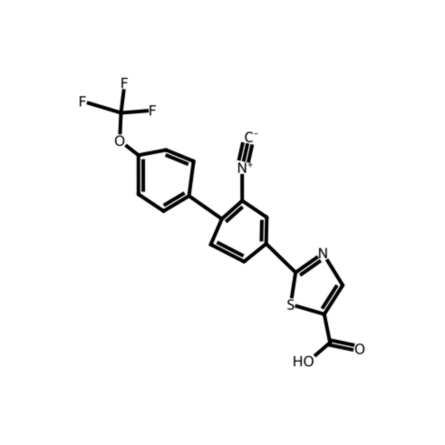 [C-]#[N+]c1cc(-c2ncc(C(=O)O)s2)ccc1-c1ccc(OC(F)(F)F)cc1